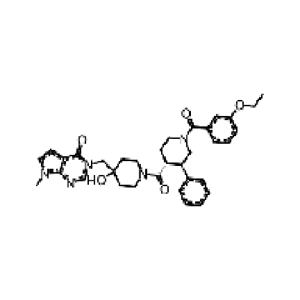 CCOc1cccc(C(=O)N2CC[C@@H](C(=O)N3CCC(O)(Cn4cnc5c(ccn5C)c4=O)CC3)[C@H](c3ccccc3)C2)c1